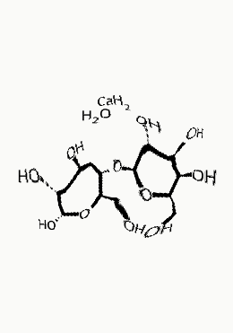 O.OC[C@H]1O[C@@H](O[C@H]2[C@H](O)[C@@H](O)[C@@H](O)O[C@@H]2CO)[C@H](O)[C@@H](O)[C@H]1O.[CaH2]